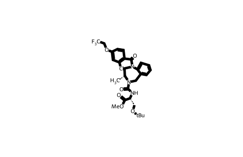 COC(=O)[C@@H](COC(C)(C)C)NC(=O)N1Cc2ccccc2N(C(=O)c2ccc(OCC(F)(F)F)cc2Cl)C[C@H]1C